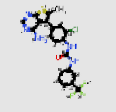 Cc1sc2ncnc(N)c2c1-c1ccc(NC(=O)Nc2cccc(C(F)(F)F)c2)c(Cl)c1